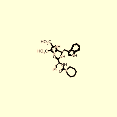 CC(C)C[C@H](NC(=O)N1CCCCCC1)C(=O)N[C@H](Cc1c[nH]c2ccccc12)c1nc(C(=O)O)c(C(=O)O)[nH]1